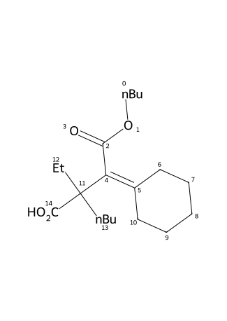 CCCCOC(=O)C(=C1CCCCC1)C(CC)(CCCC)C(=O)O